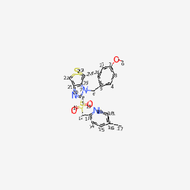 COc1ccc(Cn2c(S(=O)(=O)Cc3ccc(C)cn3)nc3cscc32)cc1